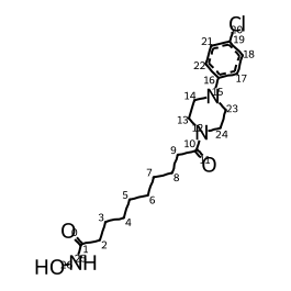 O=C(CCCCCCCCC(=O)N1CCN(c2ccc(Cl)cc2)CC1)NO